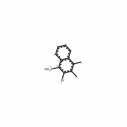 CCc1c(C)c(C)c2ccccc2c1S(=O)(=O)O